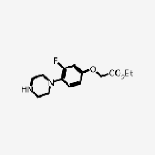 CCOC(=O)COc1ccc(N2CCNCC2)c(F)c1